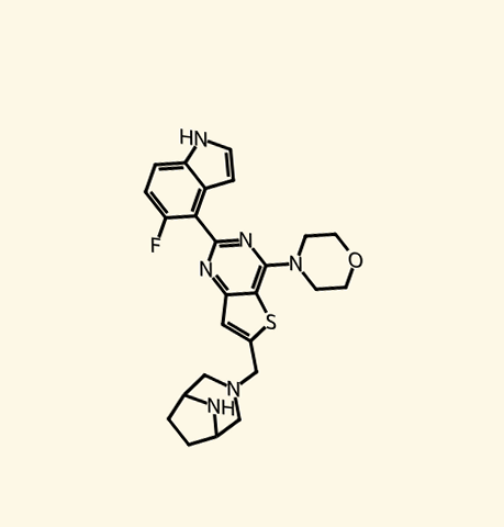 Fc1ccc2[nH]ccc2c1-c1nc(N2CCOCC2)c2sc(CN3CC4CCC(C3)N4)cc2n1